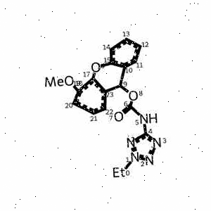 CCn1nnc(NC(=O)OC2c3ccccc3Oc3c(OC)cccc32)n1